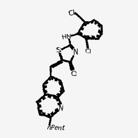 CCCCCc1ccc2cc(C=C3SC(Nc4c(Cl)cccc4Cl)=NC3=O)ccc2n1